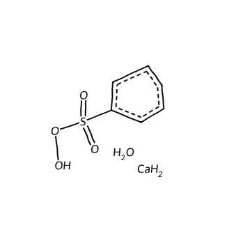 O.O=S(=O)(OO)c1ccccc1.[CaH2]